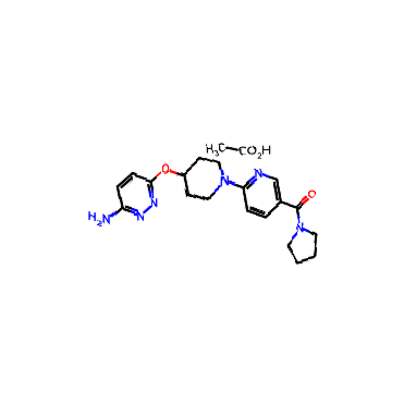 CC(=O)O.Nc1ccc(OC2CCN(c3ccc(C(=O)N4CCCC4)cn3)CC2)nn1